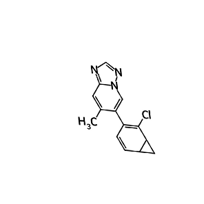 Cc1cc2ncnn2cc1C1=C(Cl)C2CC2C=C1